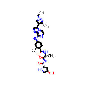 CCc1cc(Nc2nccn3c(-c4cn(CC#N)nc4C(F)(F)F)cnc23)ccc1C(=O)N[C@H](C)C(=O)NC(=O)[C@@H]1C[C@@H](O)CN1